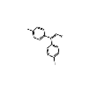 ClC=C(c1ccc(I)cc1)c1ccc(I)cc1